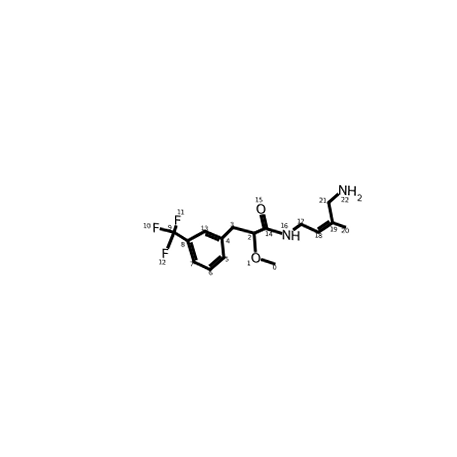 COC(Cc1cccc(C(F)(F)F)c1)C(=O)NCC=C(C)CN